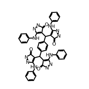 O=C1N=NC(Nc2ccccc2)=C1C(C1=C(Nc2ccccc2)N=NC1=O)c1ccc(C(C2=C(Nc3ccccc3)N=NC2=O)C2=C(Nc3ccccc3)N=NC2=O)cc1